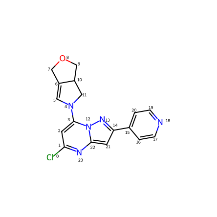 Clc1cc(N2C=C3COCC3C2)n2nc(-c3ccncc3)cc2n1